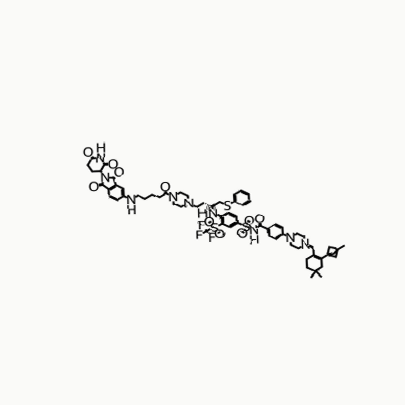 CC1(C)CCC(CN2CCN(c3ccc(C(=O)NS(=O)(=O)c4ccc(N[C@H](CCN5CCN(C(=O)CCCCNc6ccc7c(c6)C(=O)N(C6CCC(=O)NC6=O)C7=O)CC5)CSc5ccccc5)c(S(=O)(=O)C(F)(F)F)c4)cc3)CC2)=C(C23CC(C)(C2)C3)C1